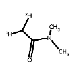 [2H]C([2H])C(=O)N(C)C